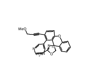 COCC#Cc1ccc2c(c1-c1cncnc1)[C@]1(COC(N)=N1)c1ccccc1O2